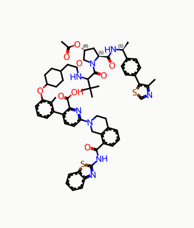 CC(=O)O[C@@H]1C[C@@H](C(=O)N[C@@H](C)c2ccc(-c3scnc3C)cc2)N(C(=O)C(NC(=O)CC2CCC(Oc3cccc(-c4ccc(N5CCc6cccc(C(=O)Nc7nc8ccccc8s7)c6C5)nc4C(=O)O)c3C)CC2)C(C)(C)C)C1